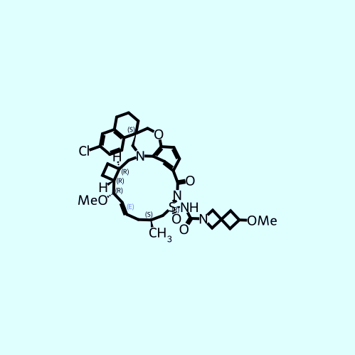 COC1CC2(C1)CN(C(=O)N[S@@]1(=O)=NC(=O)c3ccc4c(c3)N(C[C@@H]3CC[C@H]3[C@@H](OC)/C=C/C[C@H](C)C1)C[C@@]1(CCCc3cc(Cl)ccc31)CO4)C2